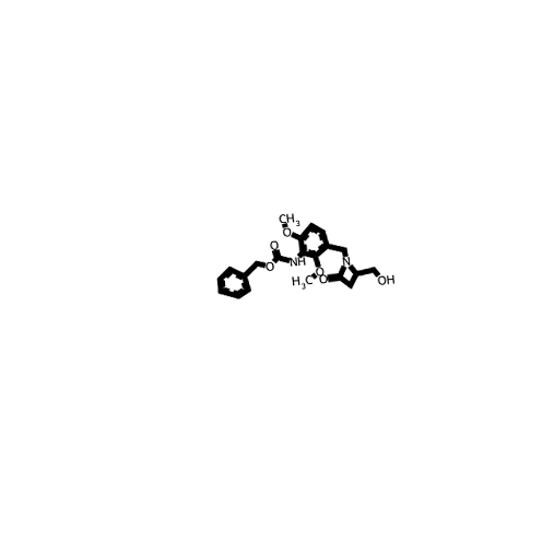 COc1ccc(CN2C(=O)CC2CO)c(OC)c1NC(=O)OCc1ccccc1